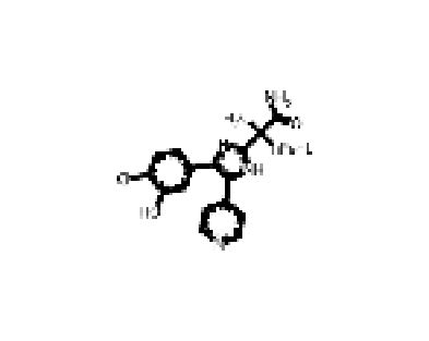 CCCCCC(C)(C(N)=O)c1nc(-c2ccc(Cl)c(O)c2)c(-c2ccncc2)[nH]1